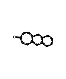 O=c1ccc2cc3ccccc3cc2cc1